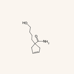 NC(=O)C1(CCCCO)CC=CC1